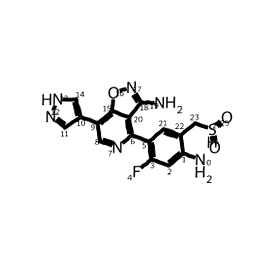 Nc1cc(F)c(-c2ncc(-c3cn[nH]c3)c3onc(N)c23)cc1C[SH](=O)=O